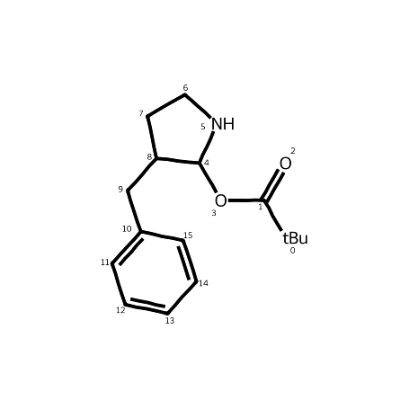 CC(C)(C)C(=O)OC1NCCC1Cc1ccccc1